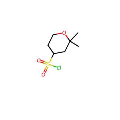 CC1(C)CC(S(=O)(=O)Cl)CCO1